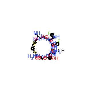 C[C@@]12CCCN1C(=O)[C@H](Cc1ccc(O)cc1)NC(=O)[C@H](Cc1c[nH]cn1)NC(=O)[C@H](CC(=O)O)NC(=O)[C@H](Cc1c[nH]c3ccc(F)cc13)NC(=O)[C@H](CCc1c[nH]c3ccc(F)cc13)NC(=O)c1coc(n1)[C@H](CCCCN)NC(=O)CCSCc1cccc(c1)CSC[C@@H](C(N)=O)NC2=O